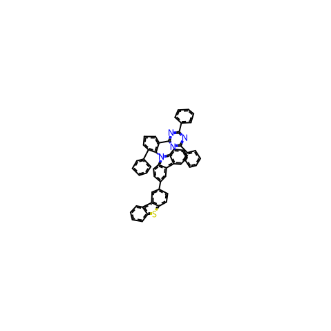 c1ccc(-c2nc(-c3ccccc3)nc(-c3cccc(-c4ccccc4)c3-n3c4ccccc4c4cc(-c5ccc6sc7ccccc7c6c5)ccc43)n2)cc1